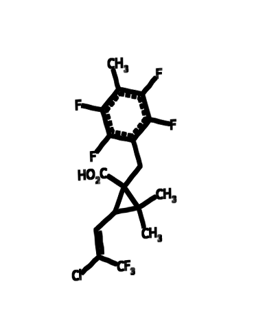 Cc1c(F)c(F)c(CC2(C(=O)O)C(/C=C(/Cl)C(F)(F)F)C2(C)C)c(F)c1F